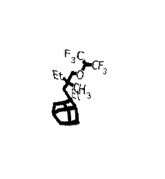 CCC(C)(COC(C(F)(F)F)C(F)(F)F)CC1(CC)C2CC3CC(C2)CC1C3